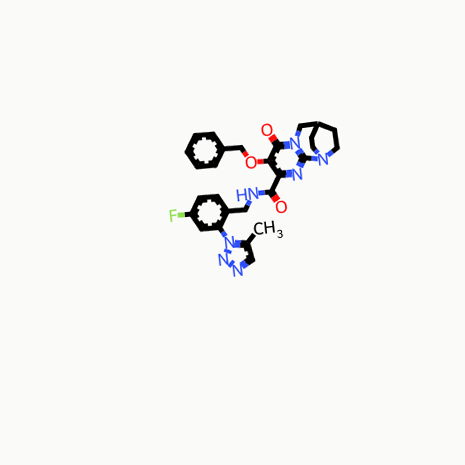 Cc1cnnn1-c1cc(F)ccc1CNC(=O)c1nc2n(c(=O)c1OCc1ccccc1)CC1CCN2CC1